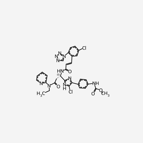 CCN(C(=O)C[C@H](NC(=O)C=Cc1cc(Cl)ccc1-n1cnnn1)c1nc(-c2ccc(NC(=O)OC)cc2)c(Cl)[nH]1)c1ccccn1